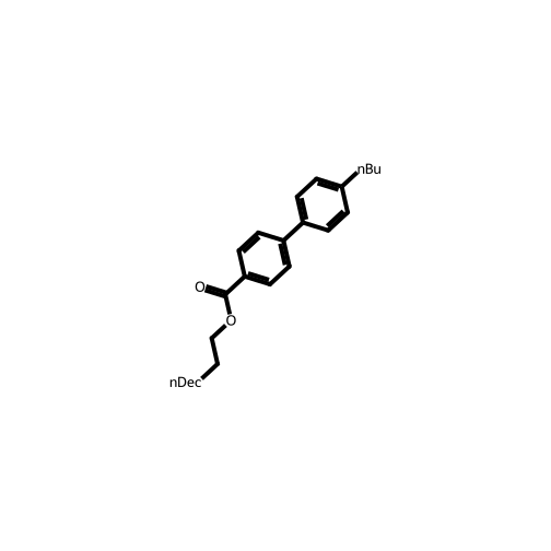 CCCCCCCCCCCCOC(=O)c1ccc(-c2ccc(CCCC)cc2)cc1